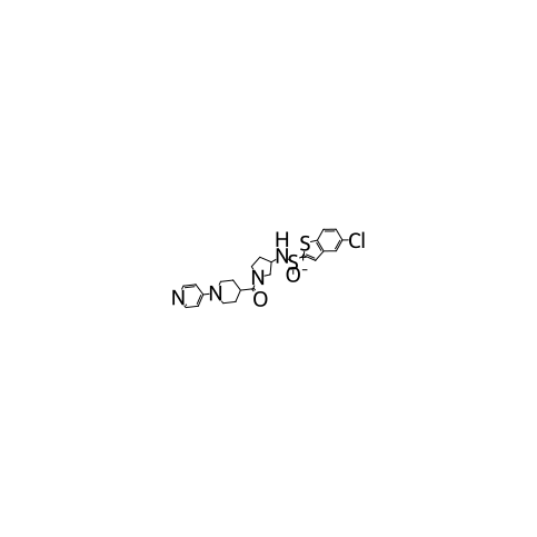 O=C(C1CCN(c2ccncc2)CC1)N1CCC(N[S+]([O-])c2cc3cc(Cl)ccc3s2)C1